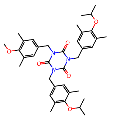 COc1c(C)cc(Cn2c(=O)n(Cc3cc(C)c(OC(C)C)c(C)c3)c(=O)n(Cc3cc(C)c(OC(C)C)c(C)c3)c2=O)cc1C